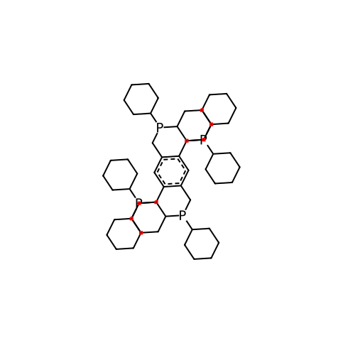 c1c(CP(C2CCCCC2)C2CCCCC2)c(CP(C2CCCCC2)C2CCCCC2)cc(CP(C2CCCCC2)C2CCCCC2)c1CP(C1CCCCC1)C1CCCCC1